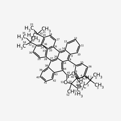 CC(C)(C)c1ccc(-c2c3ccccc3c(-c3ccc(C(C)(C)C)cc3)c3c(-c4ccc(C(C)(C)C)cc4)c4ccccc4c(B4OC(C)(C)C(C)(C)O4)c23)cc1